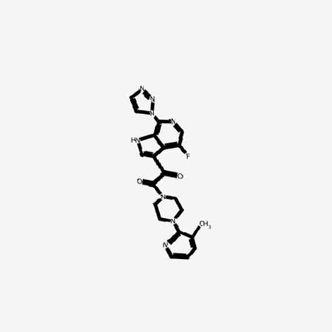 Cc1cccnc1N1CCN(C(=O)C(=O)c2c[nH]c3c(-n4ccnn4)ncc(F)c23)CC1